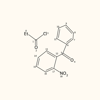 CCC(=O)Cl.O=C(c1ccccc1)c1ccccc1[N+](=O)[O-]